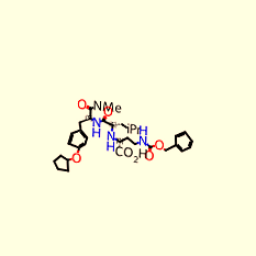 CNC(=O)[C@H](Cc1ccc(OC2CCCC2)cc1)NC(=O)[C@H](CC(C)C)N[C@H](CCNC(=O)OCc1ccccc1)C(=O)O